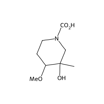 COC1CCN(C(=O)O)CC1(C)O